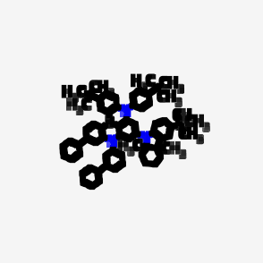 CC(C)(C)c1ccc(N2c3ccc(C(C)(C)C)cc3B3c4ccc(-c5ccccc5)cc4N(c4cccc(-c5ccccc5)c4)c4cc(N5c6ccc([Si](C)(C)C)cc6C6(C)CCCCC56C)cc2c43)cc1